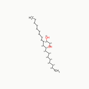 CCCCCCCCCCCCCCCCCCCC.OCCO